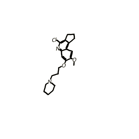 COc1cc2c3c(c(Cl)nc2cc1OCCCN1CCCCC1)CCC3